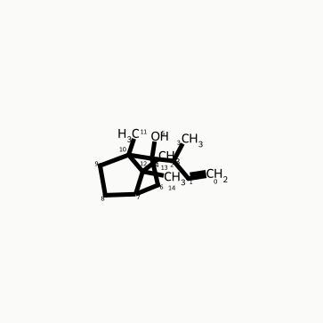 C=CC(C)C1(O)CC2CCC1(C)C2(C)C